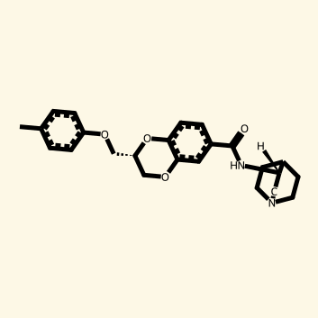 Cc1ccc(OC[C@H]2COc3cc(C(=O)N[C@H]4CN5CCC4CC5)ccc3O2)cc1